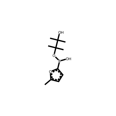 Cc1ccc(B(O)OC(C)(C)C(C)(C)O)o1